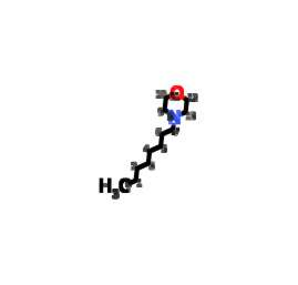 CCCCCCC[CH]N1CCOCC1